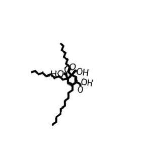 CCCCCCCCCCC1=CC(CCCCCCCCC)(C(=O)O)C(CCCCCCCCC)(C(=O)O)C=C1C(=O)O